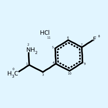 CC(N)Cc1ccc(F)cc1.Cl